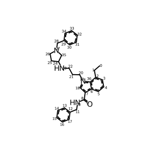 CCc1cccc2c(C(=O)NCc3ccccc3)cn(CCCNC3CCN(Cc4ccccc4)C3)c12